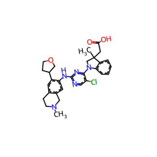 CN1CCc2cc(C3CCOC3)c(Nc3ncc(Cl)c(N4CC(C)(CC(=O)O)c5ccccc54)n3)cc2C1